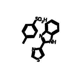 Cc1ccc(S(=O)(=O)O)cc1.c1ccc2[nH]c(-c3cscn3)nc2c1